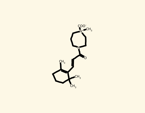 CC1=C(C=CC(=O)N2CCC[N+](C)(C(=O)[O-])CC2)C(C)(C)CCC1